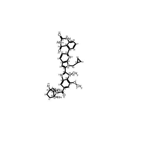 COc1cc(C(=O)N2C[C@H]3CC[C@@H]2[C@@H]3N)cc2nc(-c3cc4ccc(-c5cccc6[nH]c(=O)[nH]c(=O)c56)nc4n3CC3CC3)n(C)c12